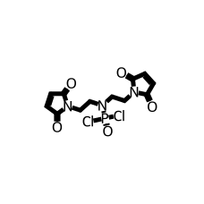 O=C1C=CC(=O)N1CCN(CCN1C(=O)C=CC1=O)P(=O)(Cl)Cl